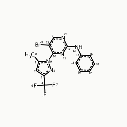 Cc1cc(C(F)(F)F)nn1-c1nc(Nc2ccccc2)ncc1Br